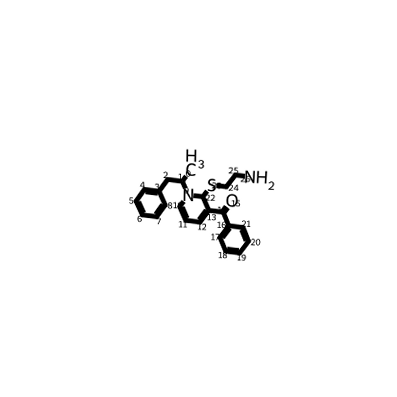 CC(Cc1ccccc1)N1C=CC=C(C(=O)c2ccccc2)C1SCCN